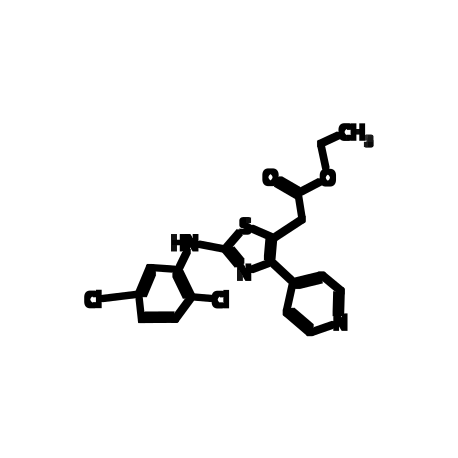 CCOC(=O)Cc1sc(Nc2cc(Cl)ccc2Cl)nc1-c1ccncc1